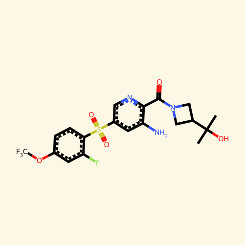 CC(C)(O)C1CN(C(=O)c2ncc(S(=O)(=O)c3ccc(OC(F)(F)F)cc3F)cc2N)C1